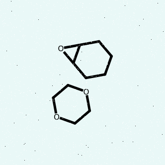 C1CCC2OC2C1.C1COCCO1